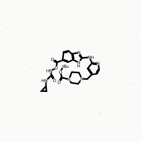 CC(C)(C)OC(=O)N1CCN(Cc2ccnc(Nc3nc4ccc(C(=O)ONC(=O)NC5CC5)cc4[nH]3)c2)CC1